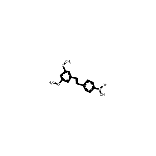 COc1cc(/C=C/c2ccc(B(O)O)cc2)cc(OC)c1